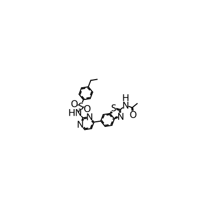 CCc1ccc(S(=O)(=O)Nc2nccc(-c3ccc4nc(NC(C)=O)sc4c3)n2)cc1